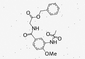 COc1ccc(C(=O)NCC(=O)OCc2ccccc2)cc1NS(C)(=O)=O